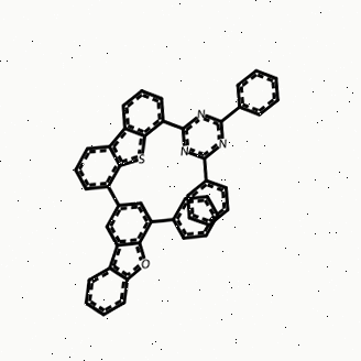 c1ccc(-c2nc(-c3ccccc3)nc(-c3cccc4c3sc3c(-c5cc(-c6ccccc6)c6oc7ccccc7c6c5)cccc34)n2)cc1